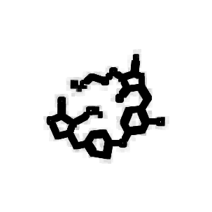 CCOON1C(=O)/C(=C\c2ccc(Oc3ccc(CC4COC(=O)N4CC)cc3)cc2Cl)SC1=S